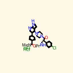 CNC(=O)c1ccc(-c2cnc3[nH]ccc3c2N2CCN(C(=O)[C@H](CNC(C)C)c3ccc(Cl)cc3)CC2)cc1.Cl.Cl